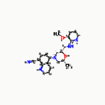 COc1cccnc1NC[C@H]1CN(c2ccc(C#N)c3ncccc23)C[C@@H](C)O1